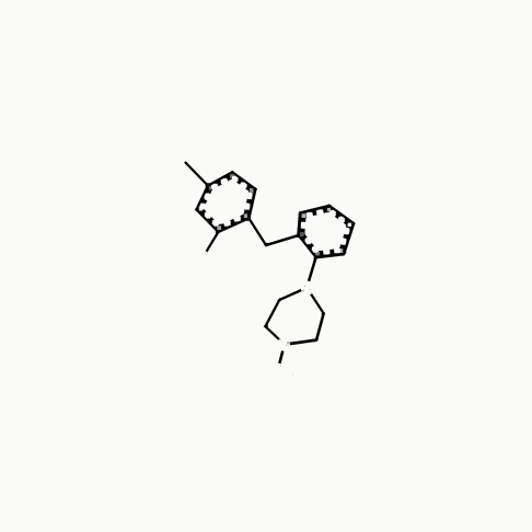 CN1CCN(c2[c]cccc2Cc2ccc(F)cc2F)CC1